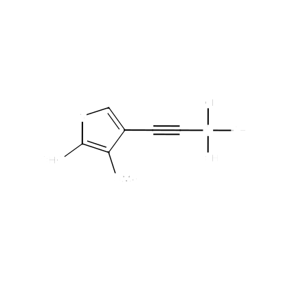 COc1c(C#C[Si](C)(C)C)csc1C=O